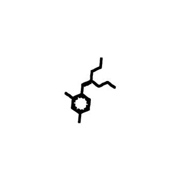 CCCC(=Cc1ccc(C)cc1C)CCC